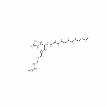 CCCCCCCCCCCCOC(CCN(C)C)COCCOCCO